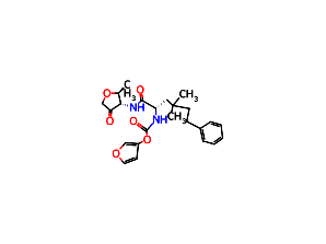 C[C@@H]1OCC(=O)[C@H]1NC(=O)[C@H](CC(C)(C)CCc1ccccc1)NC(=O)Oc1ccoc1